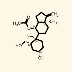 C=C1CCC2[C@H](OC(C)=O)C([C@@]3(C)CC[C@H](O)C[C@@H]3CO)CC[C@]12C